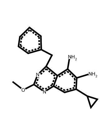 COc1nc(Cc2ccccc2)c2c(N)c(N)c(C3CC3)cc2n1